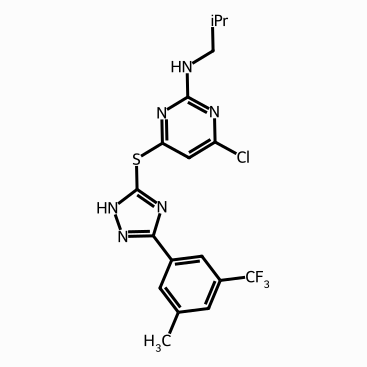 Cc1cc(-c2n[nH]c(Sc3cc(Cl)nc(NCC(C)C)n3)n2)cc(C(F)(F)F)c1